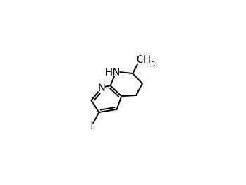 CC1CCc2cc(I)cnc2N1